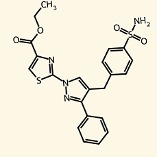 CCOC(=O)c1csc(-n2cc(Cc3ccc(S(N)(=O)=O)cc3)c(-c3ccccc3)n2)n1